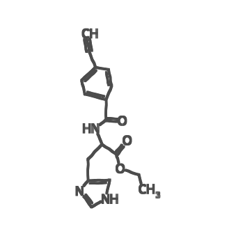 C#Cc1ccc(C(=O)NC(Cc2c[nH]cn2)C(=O)OCC)cc1